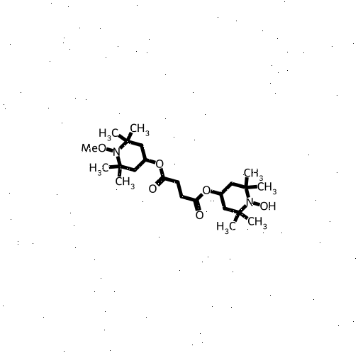 CON1C(C)(C)CC(OC(=O)CCC(=O)OC2CC(C)(C)N(O)C(C)(C)C2)CC1(C)C